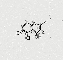 Cc1nc2ccc(Cl)c(Cl)c2c(O)c1C